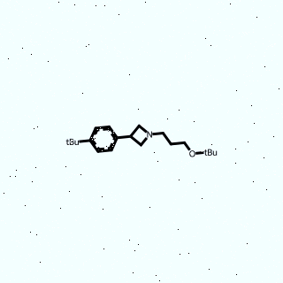 CC(C)(C)OCCCN1CC(c2ccc(C(C)(C)C)cc2)C1